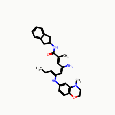 CC/C=C(/C=C(N)\C=C(/C)C(=O)NC1Cc2ccccc2C1)Nc1ccc2c(c1)N(C)CCO2